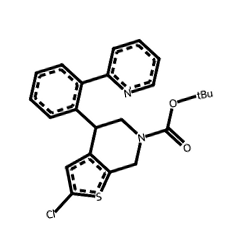 CC(C)(C)OC(=O)N1Cc2sc(Cl)cc2C(c2ccccc2-c2ccccn2)C1